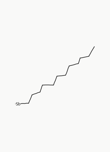 CCCCCCCCCCC[CH2][Sb]